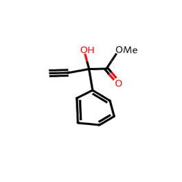 C#CC(O)(C(=O)OC)c1ccccc1